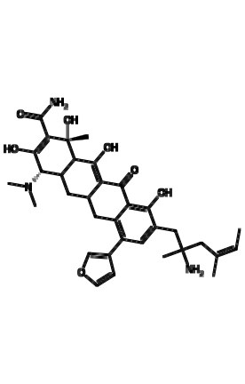 C/C=C(/C)CC(C)(N)Cc1cc(-c2ccoc2)c2c(c1O)C(=O)C1=C(O)C3C(CC1C2)[C@H](N(C)C)C(O)=C(C(N)=O)[C@]3(C)O